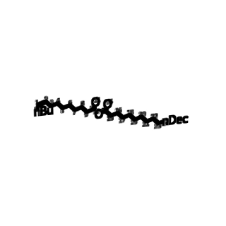 CCCC/C=C\CCCCCCCC(=O)OC(=O)CCCCCCCCCCCCCCCCCCC